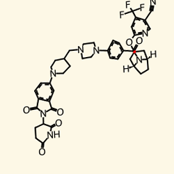 N#Cc1cnc(OC2C[C@H]3CC[C@@H](C2)N3C(=O)c2ccc(N3CCN(CC4CCN(c5ccc6c(c5)C(=O)N(C5CCC(=O)NC5=O)C6=O)CC4)CC3)cc2)cc1C(F)(F)F